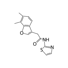 Cc1ccc2c(CC(=O)Nc3nccs3)coc2c1C